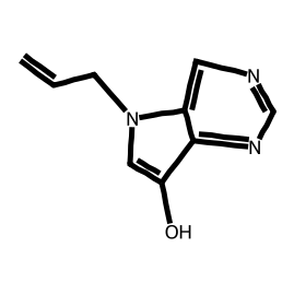 C=CCn1cc(O)c2ncncc21